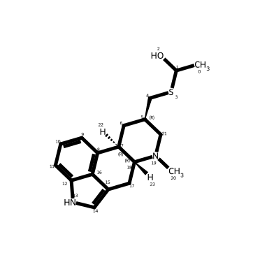 CC(O)SC[C@@H]1C[C@@H]2c3cccc4[nH]cc(c34)C[C@H]2N(C)C1